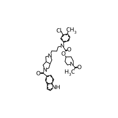 CC(=O)N1CCC(OC(=O)N(CCCN2CC3CN(C(=O)c4ccc5[nH]ccc5c4)CC3C2)c2ccc(C)c(Cl)c2)CC1